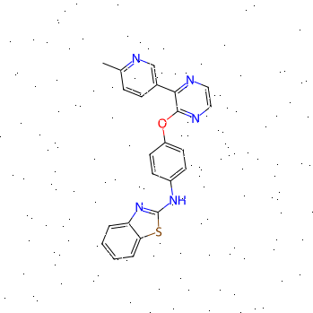 Cc1ccc(-c2nccnc2Oc2ccc(Nc3nc4ccccc4s3)cc2)cn1